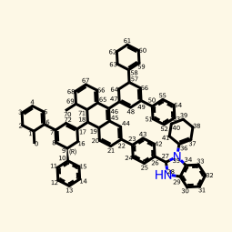 CC1CC=CC=C1C1=C[C@H](c2ccccc2)CC(C2C3C=CC(c4ccc(C5Nc6ccccc6N5C5=CCCCC5)cc4)=CC3=C(C3=CC(c4ccccc4)=CC(C4=CC=CCC4)C3)C3=CC=CC(C)C32)=C1